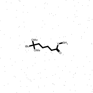 COC(CCCCC(=O)O[SiH3])(OC)C(C)(C)C